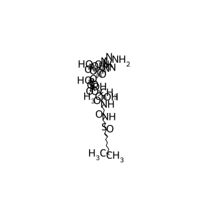 CC(C)CCCCC=CC(=O)SCCNC(=O)CCNC(=O)[C@H](O)C(C)(C)COP(=O)(O)OP(=O)(O)OC[C@H]1O[C@@H](n2cnc3c(N)ncnc32)[C@H](O)[C@@H]1OP(=O)(O)O